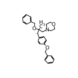 CC([CH]c1ccc(OCc2ccccc2)cc1)(CN1CCOCC1)OCc1ccccc1